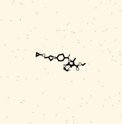 CCOC(=O)c1c(C)n([C@H](C)C2CCC(N3CC(COC4CC4)C3)CC2)c2ncccc12